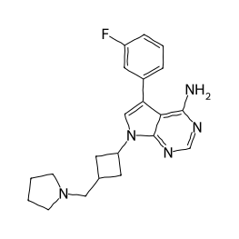 Nc1ncnc2c1c(-c1cccc(F)c1)cn2C1CC(CN2CCCC2)C1